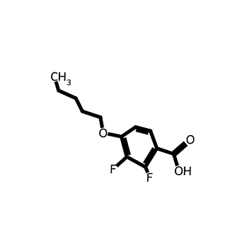 CCCCCOc1ccc(C(=O)O)c(F)c1F